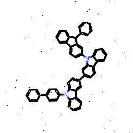 c1ccc(-c2ccc(-n3c4ccccc4c4cc(-c5ccc6c7ccccc7n(-c7ccc8c(c7)C(c7ccccc7)c7ccccc7-8)c6c5)ccc43)cc2)cc1